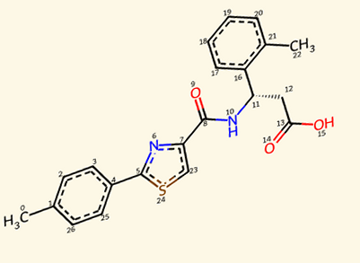 Cc1ccc(-c2nc(C(=O)N[C@@H](CC(=O)O)c3ccccc3C)cs2)cc1